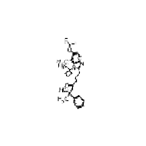 Cc1c(OC(F)F)ccc2nc(CCCC(=O)CC(C)(O)c3ccccc3)n(C3(C)CCC3)c12